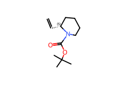 C=C[C@@H]1CCCCN1C(=O)OC(C)(C)C